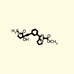 COC(=O)c1nc(-c2cccc(C#C[C@]3(O)CCN(C)C3=O)c2)c2n1CCC2